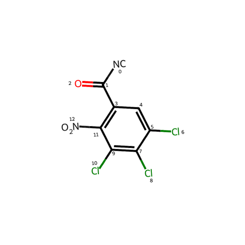 [C-]#[N+]C(=O)c1cc(Cl)c(Cl)c(Cl)c1[N+](=O)[O-]